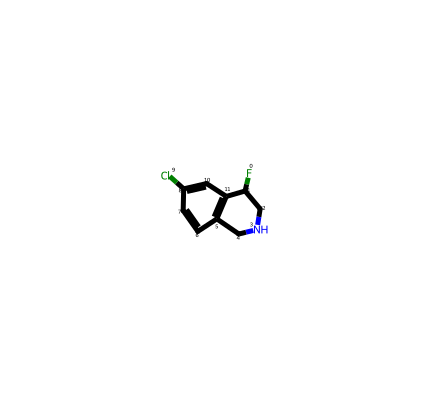 FC1CNCc2ccc(Cl)cc21